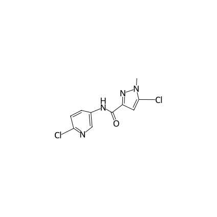 Cn1nc(C(=O)Nc2ccc(Cl)nc2)cc1Cl